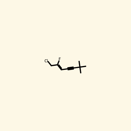 CC(C)(C)C#C/C=C(\F)CCl